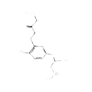 CSCC(=O)CCc1cc(OC(C)CNC(C)C)ccc1F